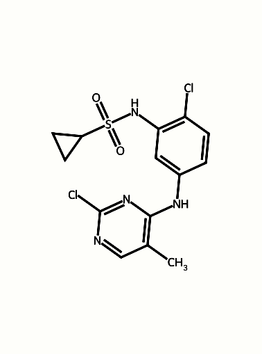 Cc1cnc(Cl)nc1Nc1ccc(Cl)c(NS(=O)(=O)C2CC2)c1